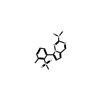 Cc1cccc(-c2ccc3cnc([S+](C)[O-])nn23)c1S(C)(=O)=O